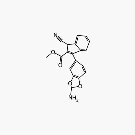 COC(=O)C1=C(c2ccc3c(c2)OC(N)O3)c2ccccc2C1C#N